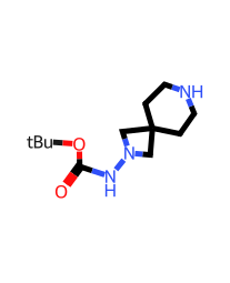 CC(C)(C)OC(=O)NN1CC2(CCNCC2)C1